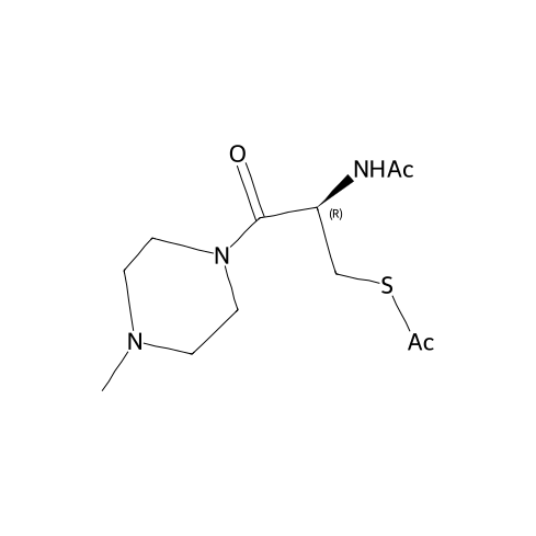 CC(=O)N[C@@H](CSC(C)=O)C(=O)N1CCN(C)CC1